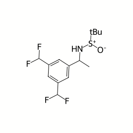 CC(N[S+]([O-])C(C)(C)C)c1cc(C(F)F)cc(C(F)F)c1